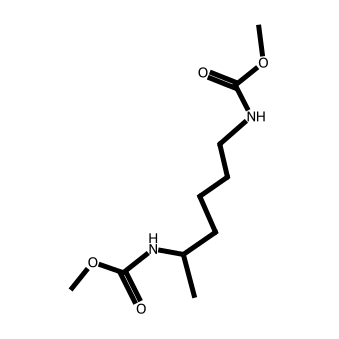 COC(=O)NCCCCC(C)NC(=O)OC